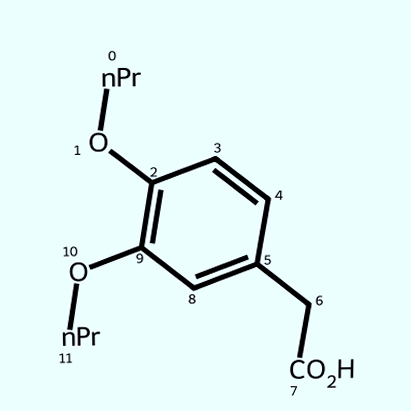 CCCOc1ccc(CC(=O)O)cc1OCCC